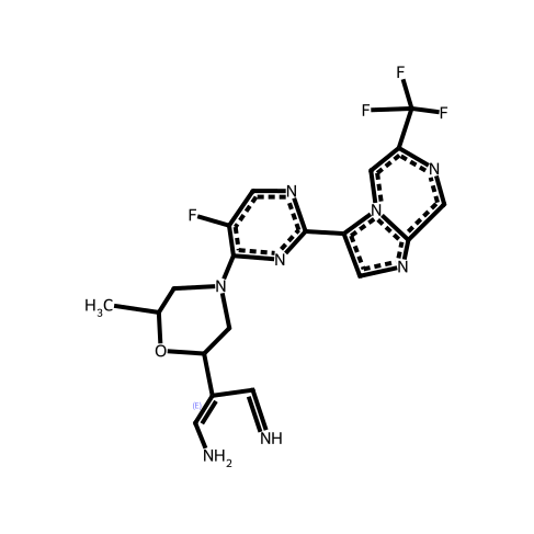 CC1CN(c2nc(-c3cnc4cnc(C(F)(F)F)cn34)ncc2F)CC(/C(C=N)=C/N)O1